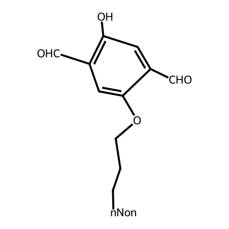 CCCCCCCCCCCCOc1cc(C=O)c(O)cc1C=O